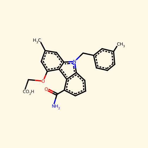 Cc1cccc(Cn2c3cc(C)cc(OCC(=O)O)c3c3c(C(N)=O)cccc32)c1